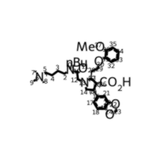 CCCCN(CCCC[N+](C)(C)C)C(=O)CN1C[C@H](c2ccc3c(c2)OCO3)[C@@H](C(=O)O)[C@@H]1CCOc1ccccc1OC